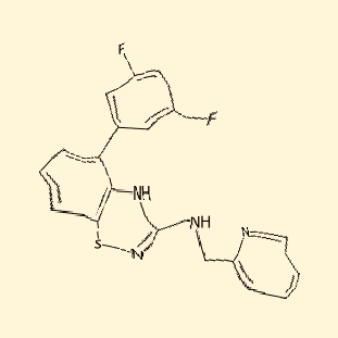 Fc1cc(F)cc(-c2cccc3c2NC(NCc2ccccn2)=NS3)c1